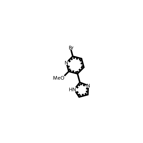 COc1nc(Br)ccc1-c1ncc[nH]1